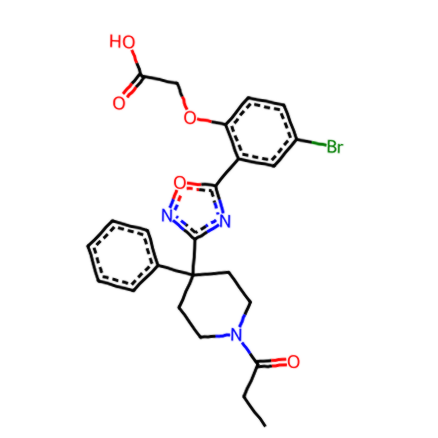 CCC(=O)N1CCC(c2ccccc2)(c2noc(-c3cc(Br)ccc3OCC(=O)O)n2)CC1